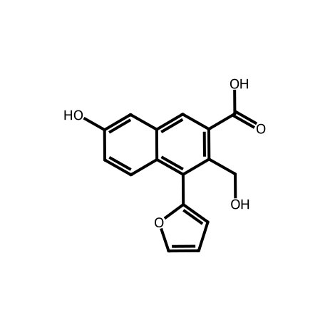 O=C(O)c1cc2cc(O)ccc2c(-c2ccco2)c1CO